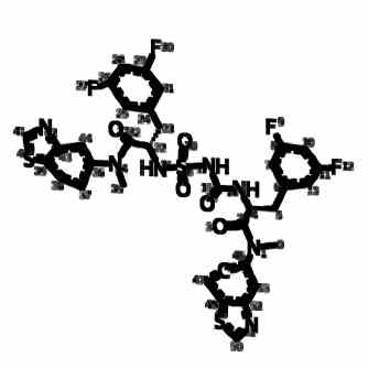 CN(C(=O)[C@H](Cc1cc(F)cc(F)c1)NC(=O)NS(=O)(=O)N[C@@H](Cc1cc(F)cc(F)c1)C(=O)N(C)c1ccc2scnc2c1)c1ccc2scnc2c1